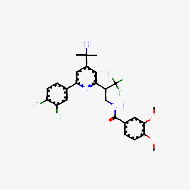 COc1ccc(C(=O)NCC(c2cc(C(C)(C)N)cc(-c3ccc(F)c(Cl)c3)n2)C(F)(F)F)cc1OC